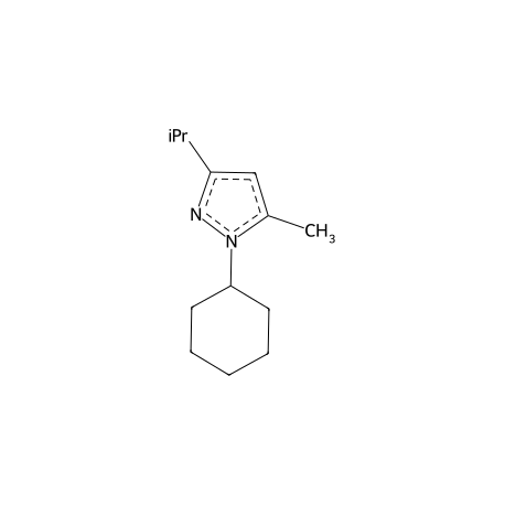 Cc1cc(C(C)C)nn1C1CCCCC1